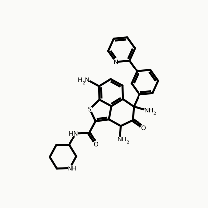 Nc1ccc2c3c(c(C(=O)NC4CCCNC4)sc13)C(N)C(=O)C2(N)c1cccc(-c2ccccn2)c1